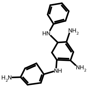 NC1=CC(N)=C(Nc2ccc(N)cc2)CC1Nc1ccccc1